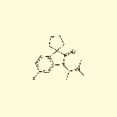 CC(N(C)C)N1C(=O)C2(CCCC2)c2ccc(F)cc21